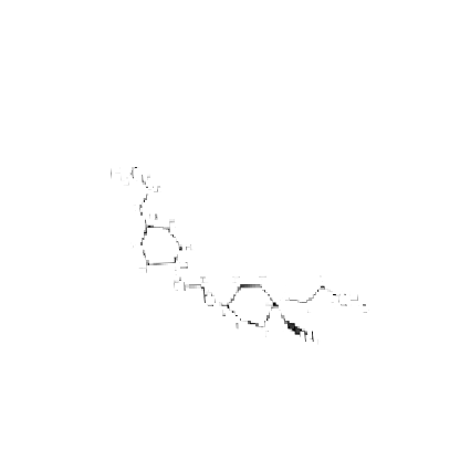 CCCC[C@]1(C#N)CC[C@H](OCO[C@H]2CC[C@H](CCC)CC2)CC1